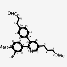 COCCCc1cnc(-c2ccc(OC)c(F)c2)c(-c2ccc(CCC=O)cc2)c1